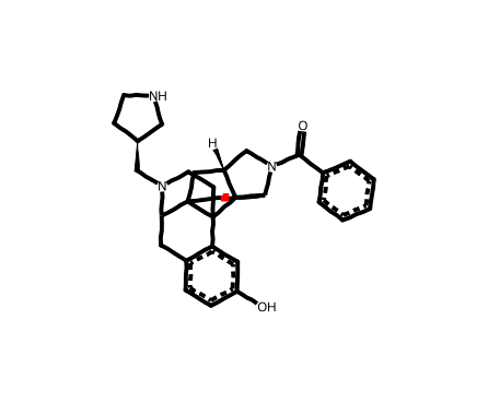 O=C(c1ccccc1)N1C[C@H]2CC34CCC1C2C31CCN(C[C@H]2CCNC2)C4Cc2ccc(O)cc21